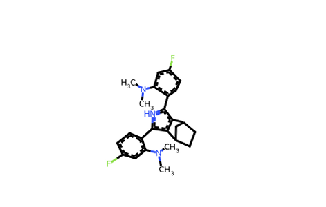 CN(C)c1cc(F)ccc1-c1[nH]c(-c2ccc(F)cc2N(C)C)c2c1C1CCC2C1